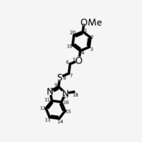 COc1ccc(OCCSc2nc3ccccc3n2C)cc1